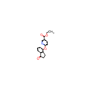 CCOC(=O)c1ccc(Oc2cccc3c2CCC3=O)nc1